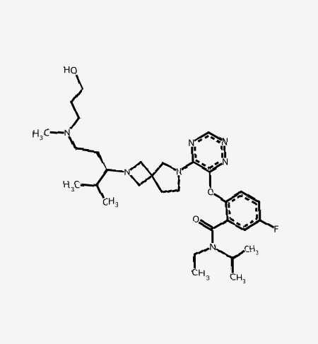 CCN(C(=O)c1cc(F)ccc1Oc1nncnc1N1CCC2(C1)CN([C@H](CCN(C)CCCO)C(C)C)C2)C(C)C